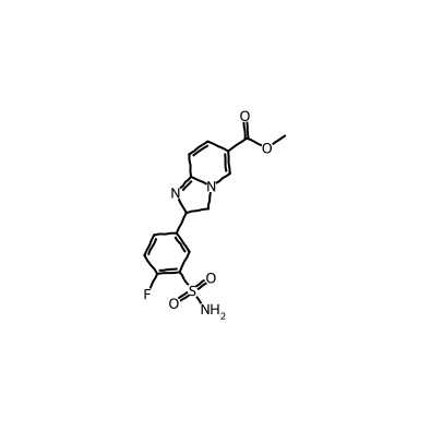 COC(=O)C1=CN2CC(c3ccc(F)c(S(N)(=O)=O)c3)N=C2C=C1